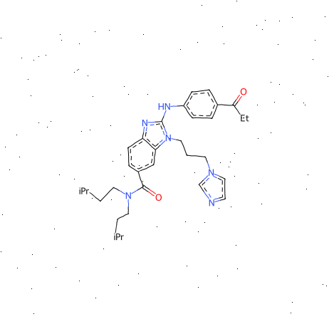 CCC(=O)c1ccc(Nc2nc3ccc(C(=O)N(CCC(C)C)CCC(C)C)cc3n2CCCn2ccnc2)cc1